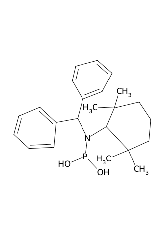 CC1(C)CCCC(C)(C)C1N(C(c1ccccc1)c1ccccc1)P(O)O